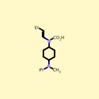 CCC=CN(C(=O)O)C1CCC(N(C)C(C)C)CC1